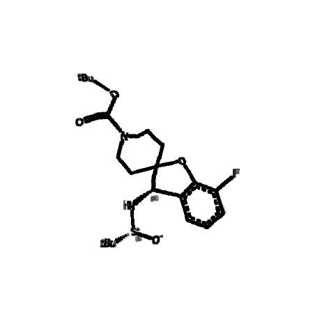 CC(C)(C)OC(=O)N1CCC2(CC1)Oc1c(F)cccc1[C@H]2N[S@+]([O-])C(C)(C)C